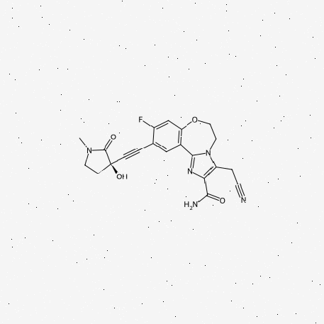 CN1CC[C@@](O)(C#Cc2cc3c(cc2F)OCCn2c-3nc(C(N)=O)c2CC#N)C1=O